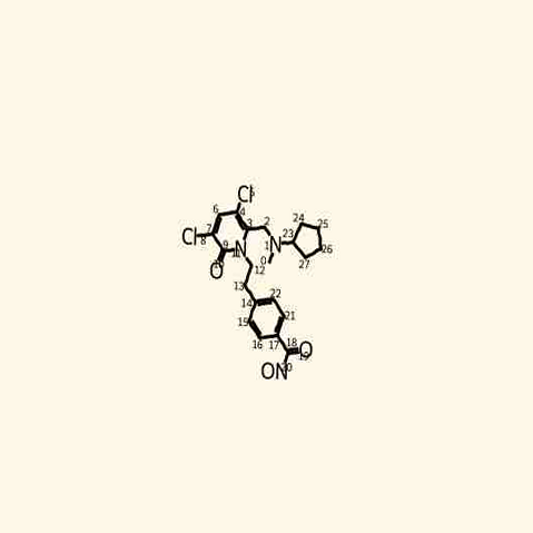 CN(Cc1c(Cl)cc(Cl)c(=O)n1CCc1ccc(C(=O)N=O)cc1)C1CCCC1